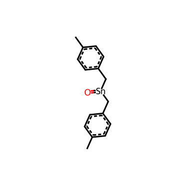 Cc1ccc([CH2][Sn](=[O])[CH2]c2ccc(C)cc2)cc1